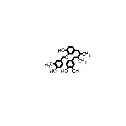 Cc1cc(COc2cc(CC(C)C(C)Cc3ccc(O)c(O)c3)ccc2O)ccc1O